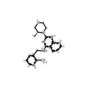 C[C@H]1COCCN1c1nc(NCc2cccnc2C(F)(F)F)c2cccnc2n1